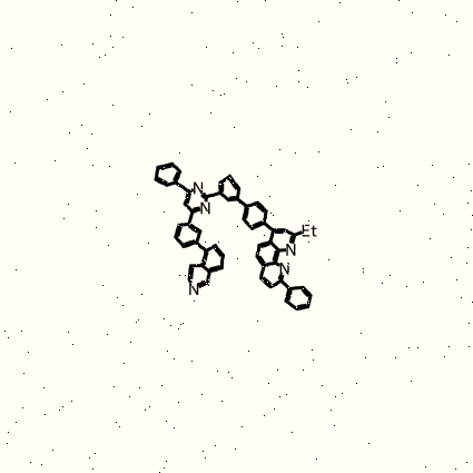 CCc1cc(-c2ccc(-c3cccc(-c4nc(-c5ccccc5)cc(-c5cccc(-c6cccc7cnccc67)c5)n4)c3)cc2)c2ccc3ccc(-c4ccccc4)nc3c2n1